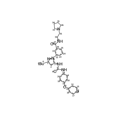 CC(C)(C)c1cc(NC(=O)Nc2ccc(Oc3ccncc3)cc2)n(-c2cccc(C(=O)NCCN3CCCC3)c2)n1